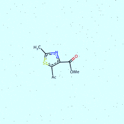 COC(=O)c1nc(C)sc1C(C)=O